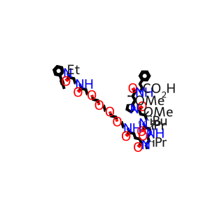 CC#Cc1ccccc1N(CC)C(=O)CCNC(=O)CCOCCOCCOCCOCCNC(=O)CCCC(=O)N(C)[C@H](C(=O)N[C@H](C(=O)N(C)[C@@H]([C@@H](C)CC)[C@@H](CC(=O)N1CCC[C@H]1[C@H](OC)[C@@H](C)C(=O)N[C@@H](Cc1ccccc1)C(=O)O)OC)C(C)C)C(C)C